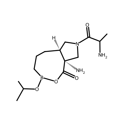 CC(C)OB1CCC[C@H]2CN(C(=O)C(C)N)C[C@@]2(N)C(=O)O1